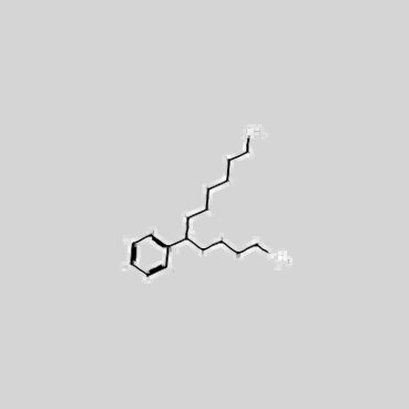 CCCCCCCC(CCCCC)c1[c]cccc1